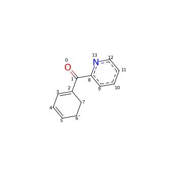 O=C(C1=CC=C[CH]C1)c1ccccn1